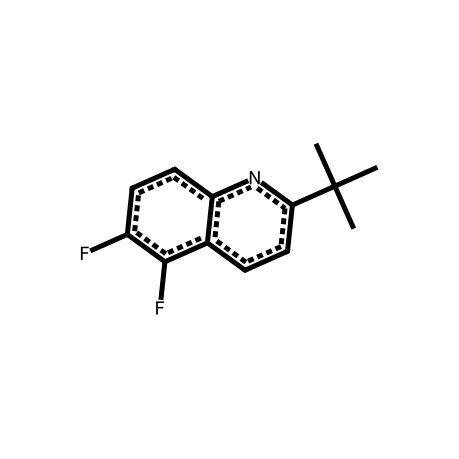 CC(C)(C)c1ccc2c(F)c(F)ccc2n1